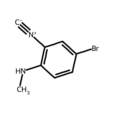 [C-]#[N+]c1cc(Br)ccc1NC